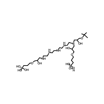 CC(C)(C)OCC(O)CN(CCNCCNCCNCCNCC(O)COCCC[Si](O)(O)O)CC(O)COCCC[Si](O)(O)O